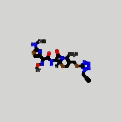 C#CCn1nnnc1SCC1=C(C(=O)O)N2C(=O)C(NC(=O)C(=NOC(C)C)c3csc(NC=O)n3)[C@@H]2SC1